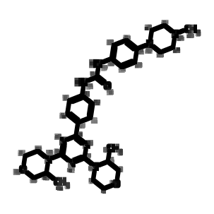 CC1COCCN1c1nc(-c2ccc(NC(=O)Nc3ccc(N4CCN(C)CC4)cc3)cc2)nc(N2CCOCC2C)n1